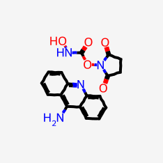 Nc1c2ccccc2nc2ccccc12.O=C(NO)ON1C(=O)CCC1=O